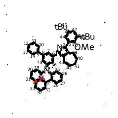 COc1c(-c2nn(-c3cc(-c4ccccc4)cc(N(c4ccccn4)c4ccccc4-c4ccccc4)c3)c3c2C=CCC=C3)cc(C(C)(C)C)cc1C(C)(C)C